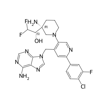 Nc1ncnc2c1ncn2Cc1cc(-c2ccc(Cl)c(F)c2)ncc1N1CCC[C@](N)([C@H](O)C(F)F)C1